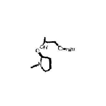 CCCCOCC(C)O.CN1CCCC1=O